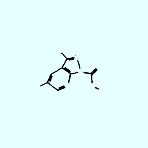 CC(C)(C)OC(=O)n1nc(I)c2cc(Br)cnc21